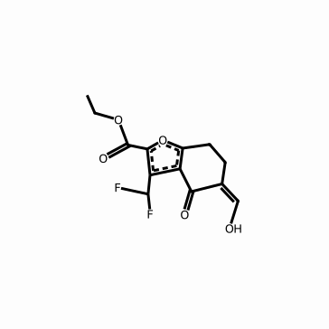 CCOC(=O)c1oc2c(c1C(F)F)C(=O)C(=CO)CC2